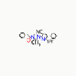 CC(C)c1nc(N2CCN(C(=O)Cc3ccccc3)[C@H](C)C2)c(C#N)cc1-c1ccccc1